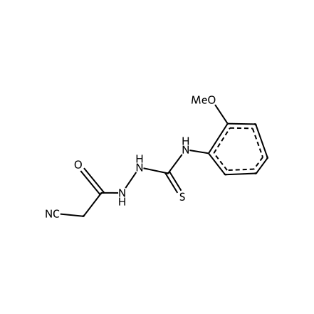 COc1ccccc1NC(=S)NNC(=O)CC#N